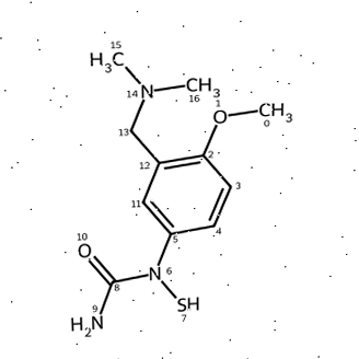 COc1ccc(N(S)C(N)=O)cc1CN(C)C